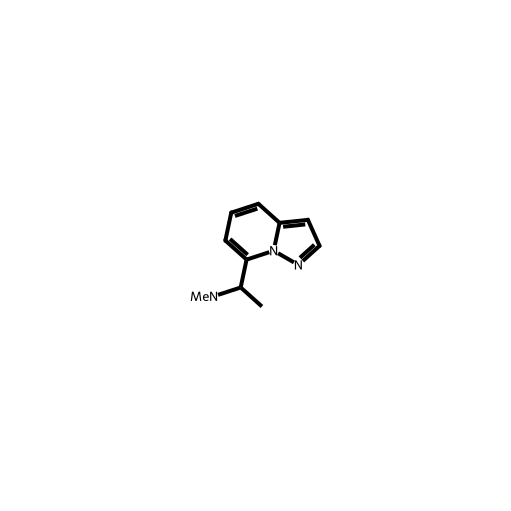 CNC(C)c1cccc2ccnn12